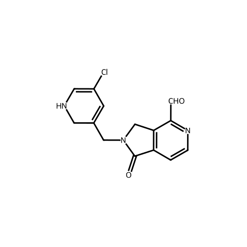 O=Cc1nccc2c1CN(CC1=CC(Cl)=CNC1)C2=O